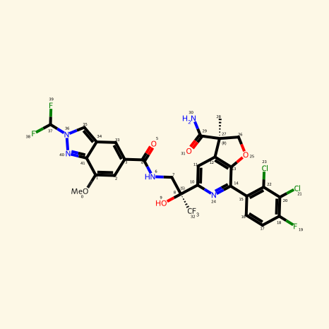 COc1cc(C(=O)NC[C@](O)(c2cc3c(c(-c4ccc(F)c(Cl)c4Cl)n2)OC[C@]3(C)C(N)=O)C(F)(F)F)cc2cn(C(F)F)nc12